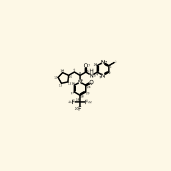 Cc1cnc(NC(=O)C(CC2CCCC2)n2ccc(C(F)(F)F)cc2=O)cn1